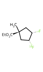 CCOC(=O)[C@]1(C)C[C@@H]([18F])[C@@H](F)C1